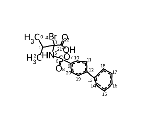 CC(C)C(Br)(NS(=O)(=O)c1ccc(-c2ccccc2)cc1)C(=O)O